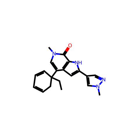 CCC1(c2cn(C)c(=O)c3[nH]c(-c4cnn(C)c4)cc23)C=CC=CC1